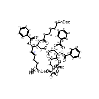 CCCCCCCCCCCCC/C=C/[C@@H](OC(=O)c1ccccc1)[C@H](CO[C@H]1O[C@H](COS(=O)(=O)[O-])[C@H](OS(=O)(=O)[O-])[C@H](OC(=O)c2ccccc2)[C@H]1OC(=O)c1ccccc1)NC(=O)CCCCCCCCCCCCCCC.[Na+].[Na+]